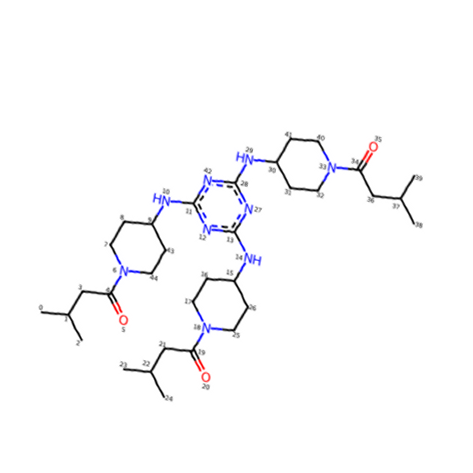 CC(C)CC(=O)N1CCC(Nc2nc(NC3CCN(C(=O)CC(C)C)CC3)nc(NC3CCN(C(=O)CC(C)C)CC3)n2)CC1